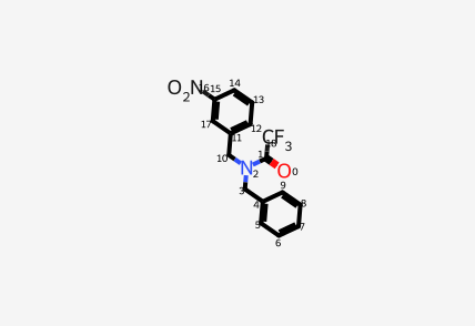 O=C(N(Cc1ccccc1)Cc1cccc([N+](=O)[O-])c1)C(F)(F)F